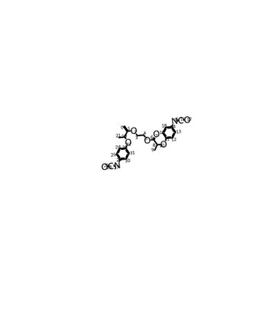 C=C(OCCOC(=O)C(C)Oc1ccc(N=C=O)cc1)C(C)Oc1ccc(N=C=O)cc1